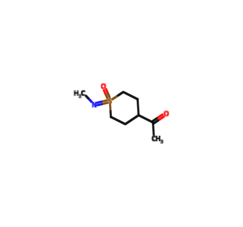 CN=S1(=O)CCC(C(C)=O)CC1